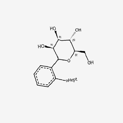 CCCCCCCc1ccccc1[C]1O[C@H](CO)[C@@H](O)[C@H](O)[C@@H]1O